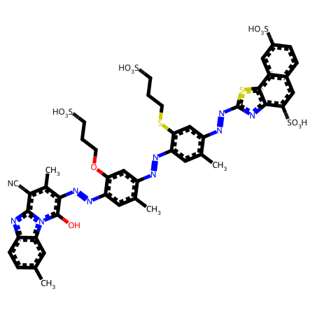 Cc1ccc2nc3c(C#N)c(C)c(N=Nc4cc(C)c(N=Nc5cc(C)c(N=Nc6nc7c(S(=O)(=O)O)cc8ccc(S(=O)(=O)O)cc8c7s6)cc5SCCCS(=O)(=O)O)cc4OCCCS(=O)(=O)O)c(O)n3c2c1